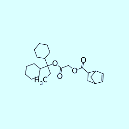 CCC(OC(=O)COC(=O)C1CC2C=CC1C2)(C1CCCCC1)C1CCCCC1